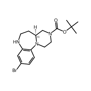 CC(C)(C)OC(=O)N1CCN2c3ccc(Br)cc3NCC[C@H]2C1